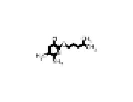 Cc1cc(Cl)c(OCCCC(C)C)nc1N